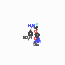 CC(C)(C)CNc1nc2ccc(OCC(=CF)CN)cc2o1.Cc1ccc(S(=O)(=O)O)cc1